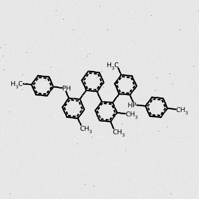 Cc1ccc(Pc2ccc(C)cc2-c2ccccc2-c2ccc(C)c(C)c2-c2cc(C)ccc2Pc2ccc(C)cc2)cc1